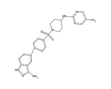 Cc1ccc(NC2CCN(S(=O)(=O)c3ccc(-c4ccc5[nH]nc(N)c5c4)cc3)CC2)nc1